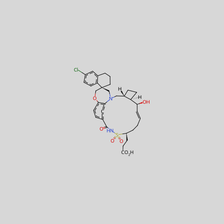 O=C(O)CC[C@@H]1CC/C=C/[C@H](O)[C@@H]2CC[C@H]2CN2C[C@@]3(CCCc4cc(Cl)ccc43)COc3ccc(cc32)C(=O)NS1(=O)=O